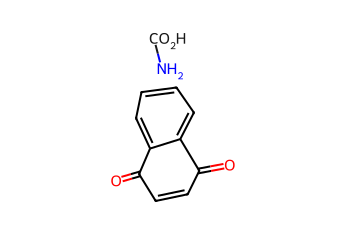 NC(=O)O.O=C1C=CC(=O)c2ccccc21